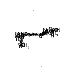 CCc1cc2c(cc1N1CCC(N3CCN(C(=O)CCOCCOCCOCCOCCOCCC(=O)N[C@H](C(=O)N4C[C@H](O)C[C@H]4C(=O)NCc4ccc(-c5scnc5C)cc4)C(C)(C)C)CC3)CC1)C(C)(C)c1[nH]c3cc(C#N)ccc3c1C2=O